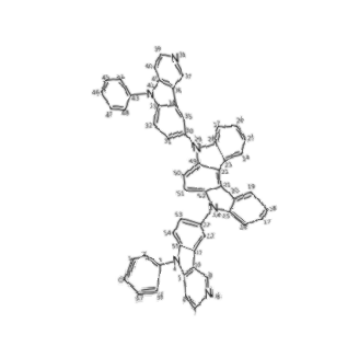 c1ccc(-n2c3ccncc3c3cc(-n4c5ccccc5c5c6c7ccccc7n(-c7ccc8c(c7)c7cnccc7n8-c7ccccc7)c6ccc54)ccc32)cc1